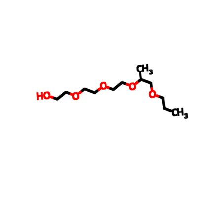 CCCOCC(C)OCCOCCOCCO